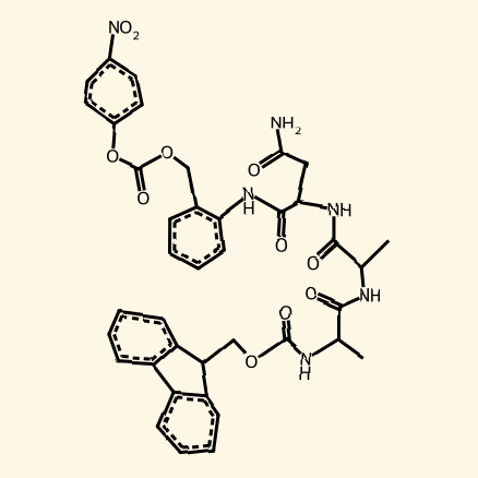 CC(NC(=O)OCC1c2ccccc2-c2ccccc21)C(=O)NC(C)C(=O)NC(CC(N)=O)C(=O)Nc1ccccc1COC(=O)Oc1ccc([N+](=O)[O-])cc1